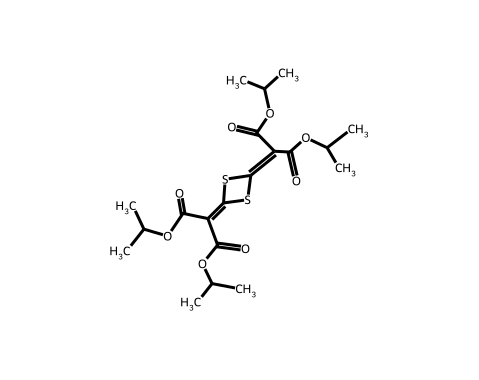 CC(C)OC(=O)C(C(=O)OC(C)C)=c1sc(=C(C(=O)OC(C)C)C(=O)OC(C)C)s1